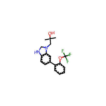 CC(C)(O)CN1CNc2ccc(-c3ccccc3OC(F)(F)F)cc21